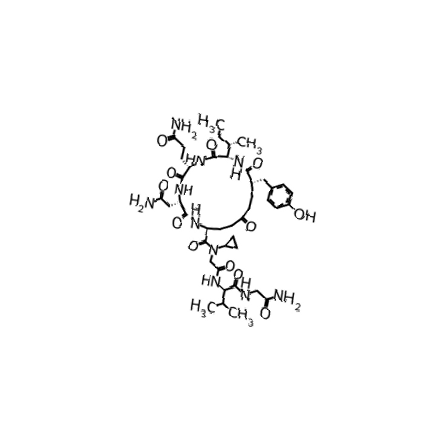 CC[C@H](C)[C@@H]1NC(=O)[C@H](Cc2ccc(O)cc2)CCC(=O)CC[C@@H](C(=O)N(CC(=O)NC(C(=O)NCC(N)=O)C(C)C)C2CC2)NC(=O)[C@H](CC(N)=O)NC(=O)[C@H](CCC(N)=O)NC1=O